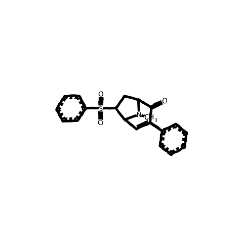 CN1C2CC(S(=O)(=O)c3ccccc3)C1C=C(c1ccccc1)C2=O